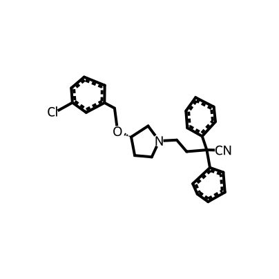 N#CC(CCN1CC[C@H](OCc2cccc(Cl)c2)C1)(c1ccccc1)c1ccccc1